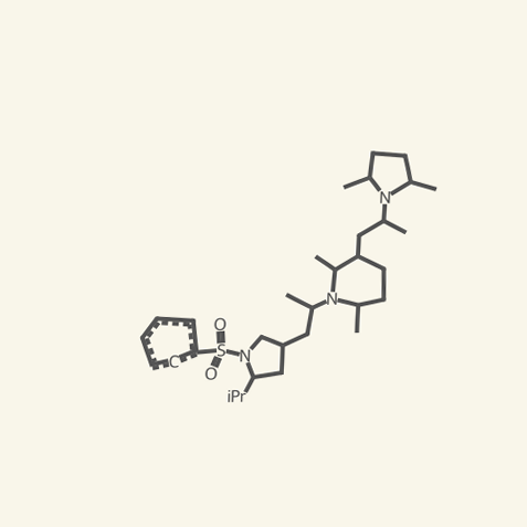 CC(C)C1CC(CC(C)N2C(C)CCC(CC(C)N3C(C)CCC3C)C2C)CN1S(=O)(=O)c1ccccc1